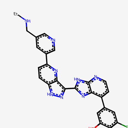 CCNCc1cncc(-c2ccc3[nH]nc(-c4nc5c(-c6cc(O)cc(F)c6)ccnc5[nH]4)c3n2)c1